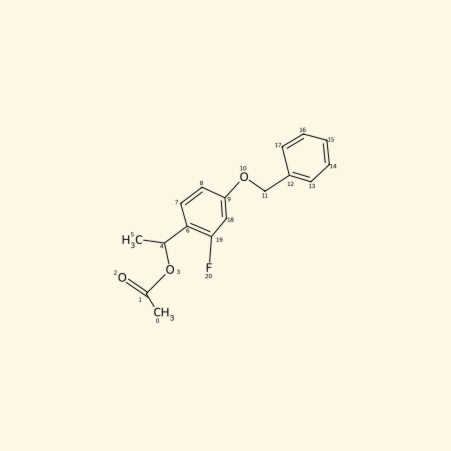 CC(=O)OC(C)c1ccc(OCc2ccccc2)cc1F